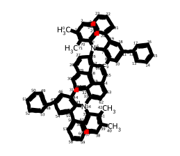 Cc1cccc(N(c2c(F)cc(-c3ccccc3)cc2-c2ccccc2)c2ccc3ccc4c(N(c5cccc(C)c5C)c5c(F)cc(-c6ccccc6)cc5-c5ccccc5)ccc5ccc2c3c54)c1C